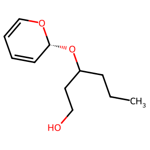 CCCC(CCO)O[C@@H]1C=CC=CO1